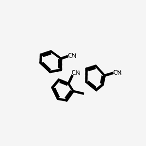 Cc1ccccc1C#N.N#Cc1ccccc1.N#Cc1ccccc1